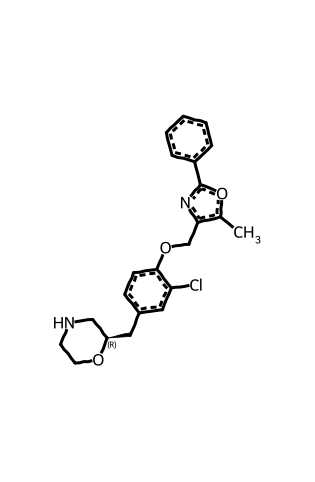 Cc1oc(-c2ccccc2)nc1COc1ccc(C[C@@H]2CNCCO2)cc1Cl